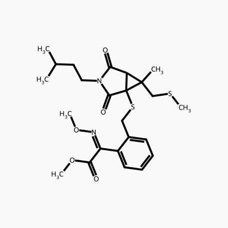 CON=C(C(=O)OC)c1ccccc1CSC12C(=O)N(CCC(C)C)C(=O)C1C2(C)CSC